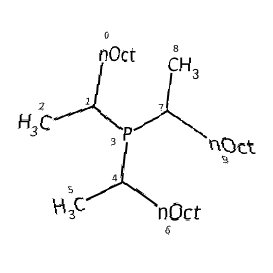 CCCCCCCCC(C)P(C(C)CCCCCCCC)C(C)CCCCCCCC